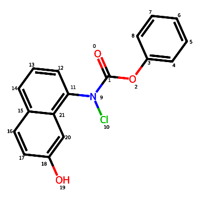 O=C(Oc1ccccc1)N(Cl)c1cccc2ccc(O)cc12